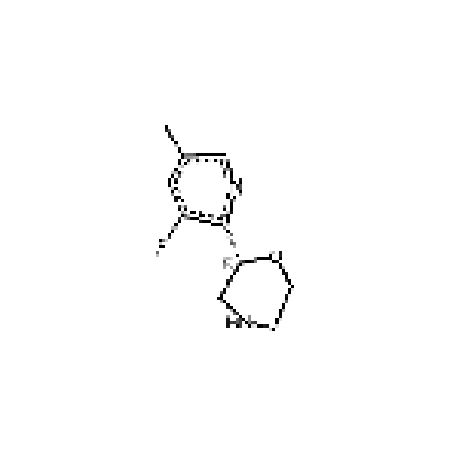 Cc1cnc([C@H]2CNCCO2)c(F)c1